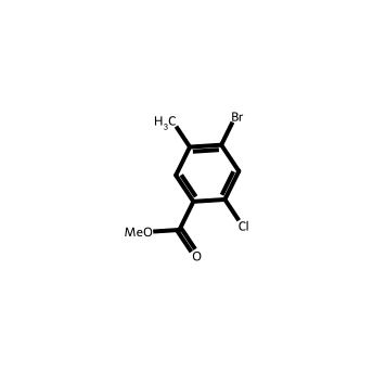 COC(=O)c1cc(C)c(Br)cc1Cl